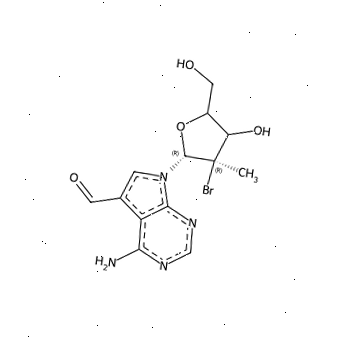 C[C@@]1(Br)C(O)C(CO)O[C@H]1n1cc(C=O)c2c(N)ncnc21